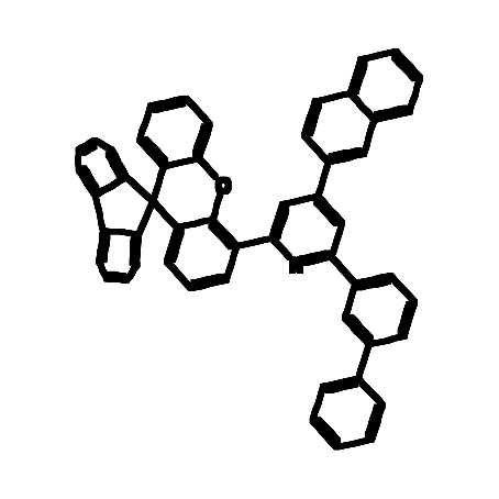 c1ccc(-c2cccc(-c3cc(-c4ccc5ccccc5c4)cc(-c4cccc5c4Oc4ccccc4C54c5ccccc5-c5ccccc54)n3)c2)cc1